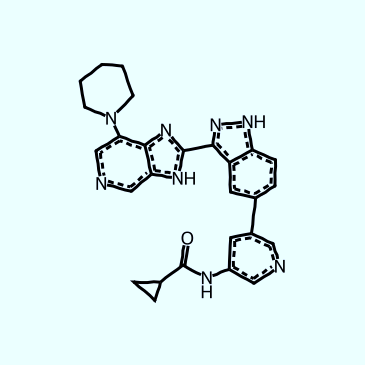 O=C(Nc1cncc(-c2ccc3[nH]nc(-c4nc5c(N6CCCCC6)cncc5[nH]4)c3c2)c1)C1CC1